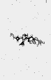 CC(C)C[C@H]1C[C@@H](c2nnc(C(CC(=O)O)CC(=O)OC(C)(C)C)n2C2CC2)C1